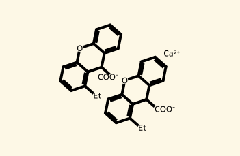 CCc1cccc2c1C(C(=O)[O-])c1ccccc1O2.CCc1cccc2c1C(C(=O)[O-])c1ccccc1O2.[Ca+2]